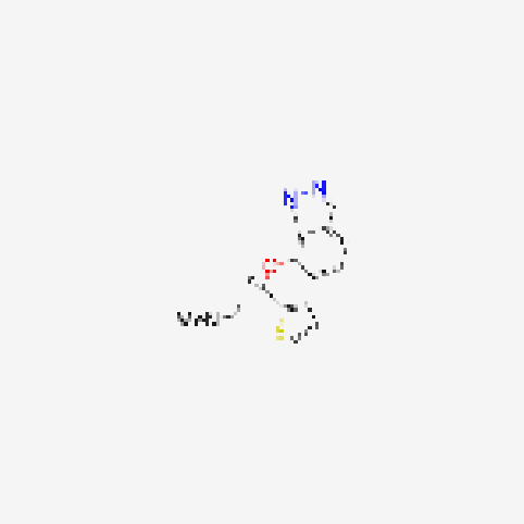 CNCC[C@H](Oc1cccc2cnncc12)c1cccs1